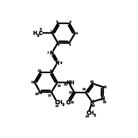 Cc1ccccc1/N=N/c1ccnc(C)c1NC(=O)c1ccnn1C